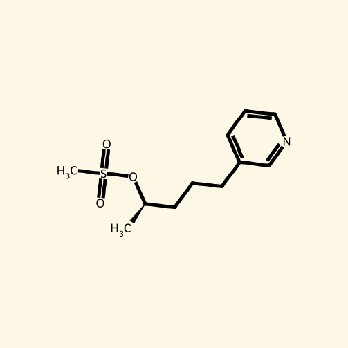 C[C@H](CCCc1cccnc1)OS(C)(=O)=O